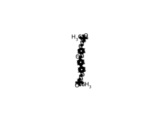 CCC1(COCOc2ccc(OC(=O)c3ccc(-c4ccc(OCOCC5(CC)COC5)cc4)cc3)cc2)COC1